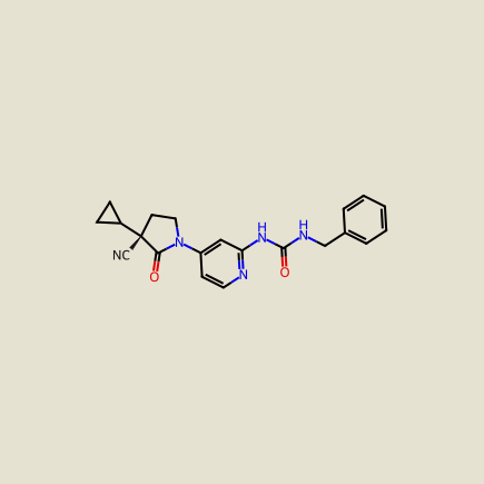 N#C[C@@]1(C2CC2)CCN(c2ccnc(NC(=O)NCc3ccccc3)c2)C1=O